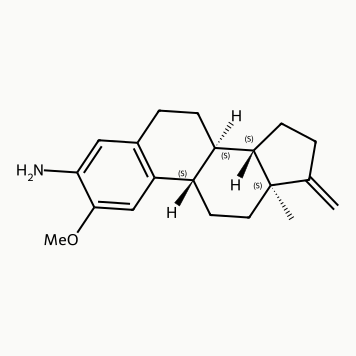 C=C1CC[C@H]2[C@@H]3CCc4cc(N)c(OC)cc4[C@H]3CC[C@]12C